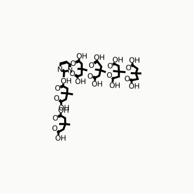 CC(C)(CC(=O)O)CC(=O)O.CC(C)(CC(=O)O)CC(=O)O.CC(C)(CC(=O)O)CC(=O)O.CC(C)(CC(=O)O)CC(=O)O.CC(C)(CC(=O)O)CC(=O)O.CC(C)(CC(=O)O)CC(=O)O.Cc1ncccn1